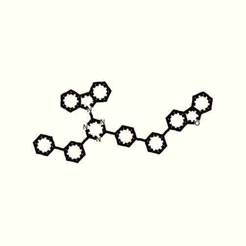 c1ccc(-c2cccc(-c3nc(-c4ccc(-c5cccc(-c6ccc7c(c6)oc6ccccc67)c5)cc4)nc(-n4c5ccccc5c5ccccc54)n3)c2)cc1